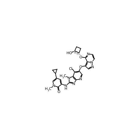 Cn1cc(C2CC2)cc(Nc2nc3ncc(Oc4cnn5ccnc(O[C@H]6CC[C@@H]6O)c45)c(Cl)c3n2C)c1=O